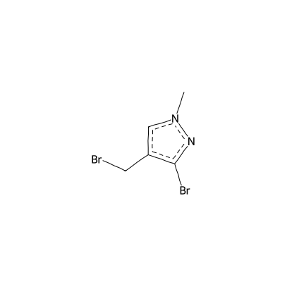 Cn1cc(CBr)c(Br)n1